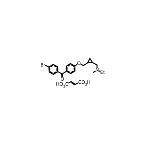 CCN(C)CC1CC1COc1ccc(C(=O)c2ccc(Br)cc2)cc1.O=C(O)C=CC(=O)O